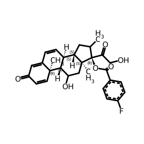 CC1C[C@H]2[C@@H]3C=CC4=CC(=O)C=C[C@]4(C)[C@H]3C(O)C[C@]2(C)[C@@]1(OC(=O)c1ccc(F)cc1)C(=O)CO